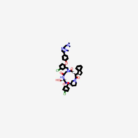 CN(C)Cc1ncc(-c2ccc(Oc3ccc(Cl)cc3CN3CC(=O)N[C@@H](CO)C(=O)N[C@@]4(Cc5ccc(Cl)cc5)CCCN(C4)C(=O)[C@H]([C@@H]4CCc5ccccc54)CC3=O)cc2)n1C